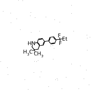 CCC(F)(F)c1ccc(-c2ccc3c(c2)CC(C)(C)CN3)cc1